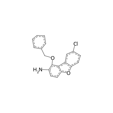 Nc1ccc2oc3ccc(Cl)cc3c2c1OCc1ccccc1